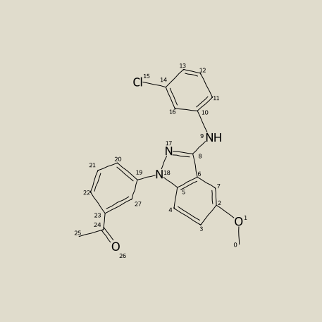 COc1ccc2c(c1)c(Nc1cccc(Cl)c1)nn2-c1cccc(C(C)=O)c1